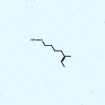 [CH2]CCSCCCCC(C)=CC